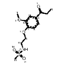 CCC(=O)c1ccc(OCCNS(C)(=O)=O)c(OC)c1